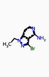 CCn1nc(Br)c2c(N)nccc21